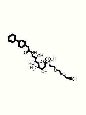 C#CCOCCOCCO[C@]1(C(=O)O)C[C@H](O)[C@@H](C)[C@H]([C@H](O)[C@H](O)CNC(=O)Cc2ccc(-c3ccccc3)cc2)O1